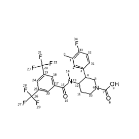 Cc1cc(C2CN(C(=O)O)CCC2N(C)C(=O)c2cc(C(F)(F)F)cc(C(F)(F)F)c2)ccc1F